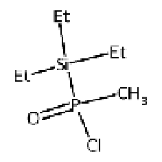 CC[Si](CC)(CC)P(C)(=O)Cl